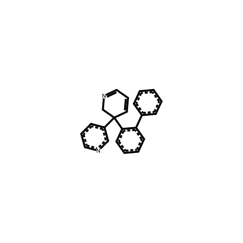 C1=CC(c2cccnc2)(c2ccccc2-c2ccccc2)CN=C1